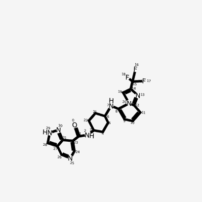 O=C(NC1CCC(Nc2cccc3nc(C(F)(F)F)cn23)CC1)c1cncc2c[nH]nc12